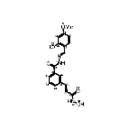 COc1ccc(/C=N/NC(=O)c2cccc(/C=C/C(=O)NO)c2)c(O)c1